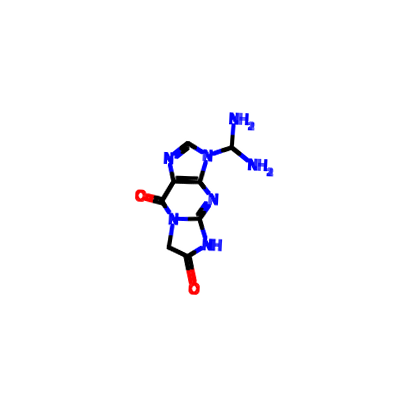 NC(N)n1cnc2c(=O)n3c(nc21)NC(=O)C3